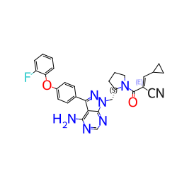 N#C/C(=C\C1CC1)C(=O)N1CCC[C@H]1Cn1nc(-c2ccc(Oc3ccccc3F)cc2)c2c(N)ncnc21